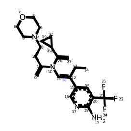 C=C(CCN1CCOCC1)N(/C=C(\CC)c1cnc(N)c(C(F)(F)F)c1)C(=C)C1CC1